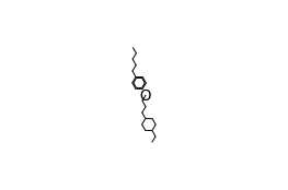 CCCCCc1ccc(OCCCC2CCC(CC)CC2)cc1